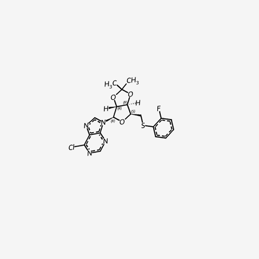 CC1(C)O[C@@H]2[C@@H](O1)[C@@H](CSc1ccccc1F)O[C@H]2n1cnc2c(Cl)ncnc21